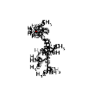 COCc1cc(CCCCC(CCc2cc(C)c(O)c(COC)c2)COCc2cc(C3(c4cc(C)c(O)c(COC)c4)CCC4(CCCC(COCc5cc(C6(c7cc(COC)c(O)c(C(C)C)c7)CCOCC6)cc(C(C)C)c5O)C4)CC3)cc(C)c2O)cc(C)c1O